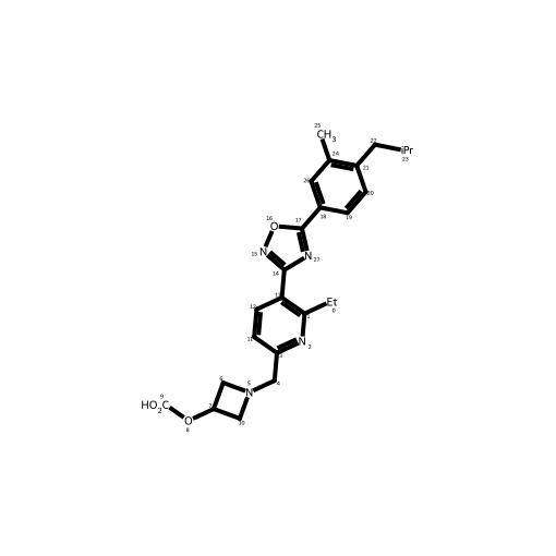 CCc1nc(CN2CC(OC(=O)O)C2)ccc1-c1noc(-c2ccc(CC(C)C)c(C)c2)n1